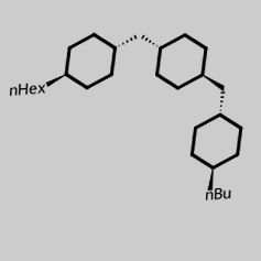 CCCCCC[C@H]1CC[C@H](C[C@H]2CC[C@H](C[C@H]3CC[C@H](CCCC)CC3)CC2)CC1